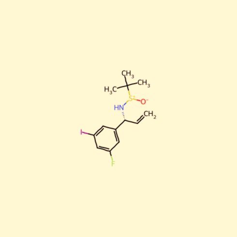 C=C[C@@H](N[S+]([O-])C(C)(C)C)c1cc(F)cc(I)c1